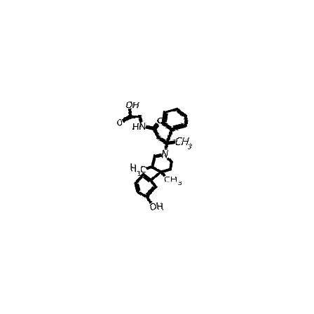 CC1CN(C(C)(CC(=O)NCC(=O)O)c2ccccc2)CCC1(C)c1cccc(O)c1